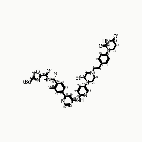 CC[C@H]1CN(CCc2ccc(N3CCC(=O)NC3=O)cc2)CCN1c1ccc(Nc2cc(-c3ccc([C@@H](C)NC(=O)c4nc(C(C)(C)C)no4)c(C)c3)ncn2)nc1